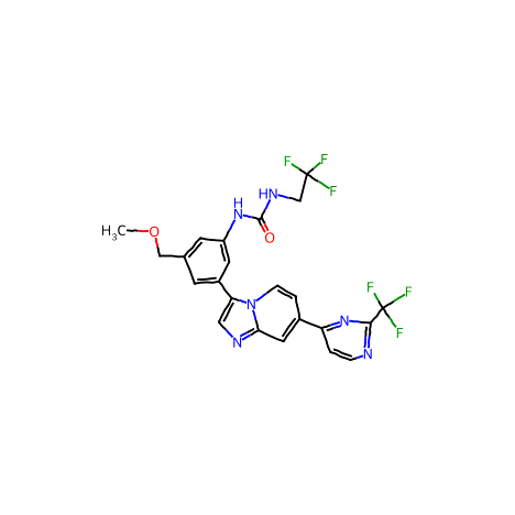 COCc1cc(NC(=O)NCC(F)(F)F)cc(-c2cnc3cc(-c4ccnc(C(F)(F)F)n4)ccn23)c1